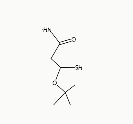 CC(C)(C)OC(S)CC([NH])=O